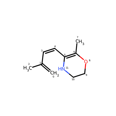 C=C(C)/C=C\C1=C(C)OCCN1